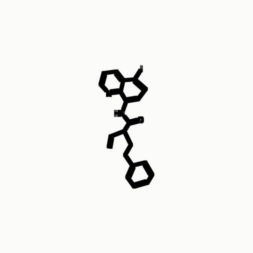 C=CC(CCc1ccccc1)C(=O)Nc1ccc(I)c2cccnc12